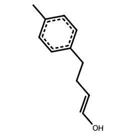 Cc1ccc(CCC=CO)cc1